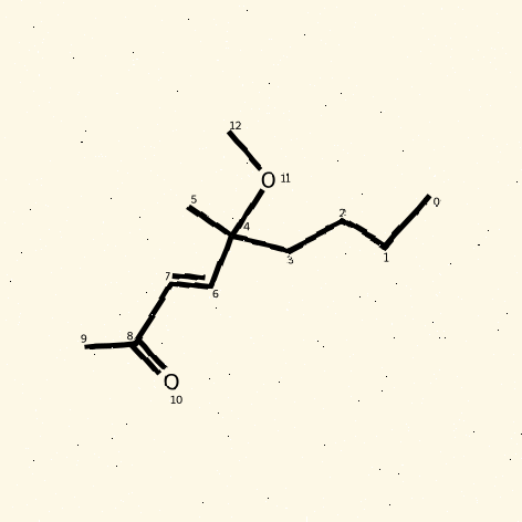 CCCCC(C)(/C=C/C(C)=O)OC